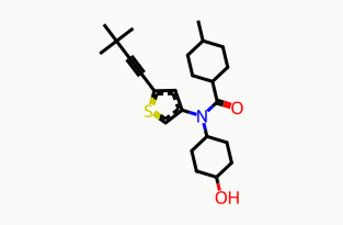 CC1CCC(C(=O)N(c2csc(C#CC(C)(C)C)c2)C2CCC(O)CC2)CC1